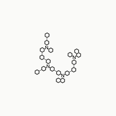 c1ccc(-c2ccc(N(c3ccccc3)c3cccc(-c4cccc(-c5cccc(N(c6ccc(-c7ccccc7)cc6)c6ccc(-c7ccc(N(c8ccc(-c9cccc(-c%10ccc(N(c%11ccccc%11)c%11cccc%12ccccc%11%12)cc%10)c9)cc8)c8cccc9ccccc89)cc7)cc6)c5)c4)c3)cc2)cc1